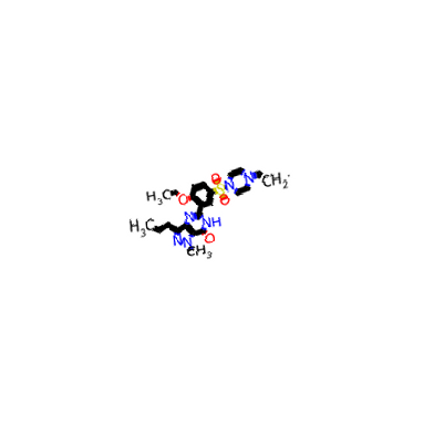 [CH2]CN1CCN(S(=O)(=O)c2ccc(OCC)c(-c3nc4c(CCC)nn(C)c4c(=O)[nH]3)c2)CC1